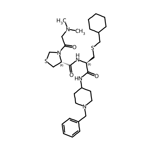 CN(C)CC(=O)N1CSC[C@H]1C(=O)N[C@@H](CSCC1CCCCC1)C(=O)NC1CCN(Cc2ccccc2)CC1